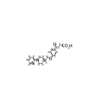 O=C(O)CCC(=O)c1ccc(OCCN2CCN(c3ccccn3)CC2)cc1